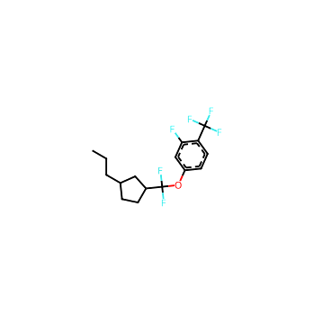 CCCC1CCC(C(F)(F)Oc2ccc(C(F)(F)F)c(F)c2)C1